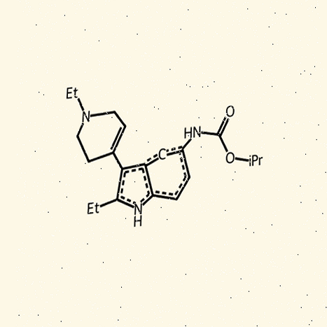 CCc1[nH]c2ccc(NC(=O)OC(C)C)cc2c1C1=CCN(CC)CC1